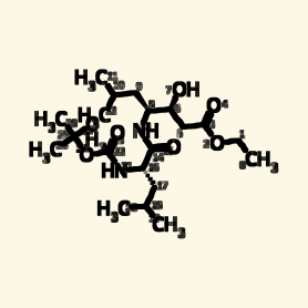 CCOC(=O)C[C@H](O)[C@H](CC(C)C)NC(=O)[C@H](CC(C)C)NC(=O)OC(C)(C)C